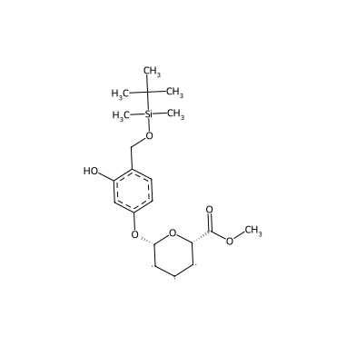 COC(=O)[C@@H]1[CH][CH][CH][C@H](Oc2ccc(CO[Si](C)(C)C(C)(C)C)c(O)c2)O1